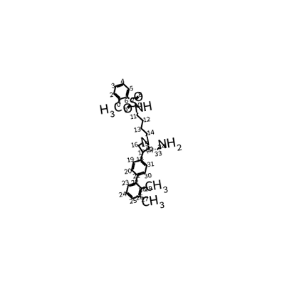 Cc1ccccc1S(=O)(=O)NCCCCN1CC(c2ccc(-c3cccc(C)c3C)cc2)[C@H]1CN